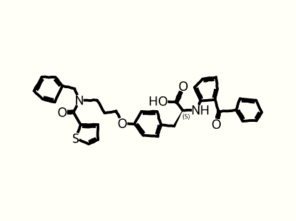 O=C(c1ccccc1)c1ccccc1N[C@@H](Cc1ccc(OCCCN(Cc2ccccc2)C(=O)c2cccs2)cc1)C(=O)O